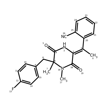 CC(=C1NC(=O)C(C)(Cc2ccc(F)cc2)N(C)C1=O)c1ccccc1C#N